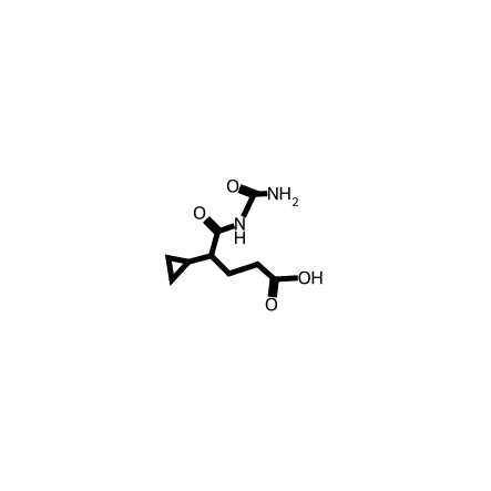 NC(=O)NC(=O)C(CCC(=O)O)C1CC1